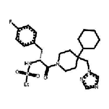 CCS(=O)(=O)N[C@H](Cc1ccc(F)cc1)C(=O)N1CCC(Cn2cncn2)(C2CCCCC2)CC1